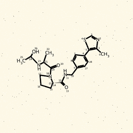 Cc1ncsc1-c1ccc(CNC(=O)[C@@H]2CCCN2C(=O)C(C)NC(C)O)cc1